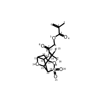 C=C(C)C(=O)OCC(=O)OC1C2CC3(C(F)(F)F)OS(=O)(=O)C1C3O2